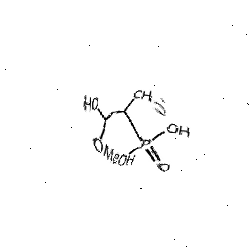 [CH2]C(C(O)OC)P(=O)(O)O